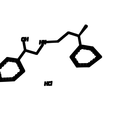 C[C@H](CCNCC(O)c1ccccc1)c1ccccc1.Cl